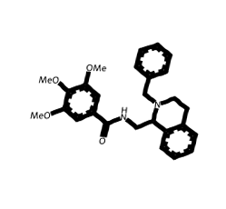 COc1cc(C(=O)NCC2c3ccccc3CCN2Cc2ccccc2)cc(OC)c1OC